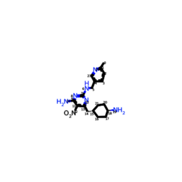 Cc1ccc(CNc2nc(N)c([N+](=O)[O-])c(C[C@H]3CC[C@H](N)CC3)n2)cn1